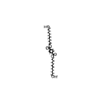 O=C(OCCCCCCCCCCCCO)c1ccc(C(=O)OCCCCCCCCCCCCO)cc1